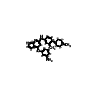 Cc1cc(Nc2nc(Oc3cccc(N)c3)c3cc[nH]c3n2)ccc1N1CCN(C)CC1